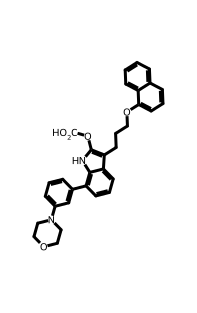 O=C(O)Oc1[nH]c2c(-c3cccc(N4CCOCC4)c3)cccc2c1CCCOc1cccc2ccccc12